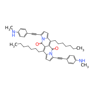 CCCCCCCc1c2c(=O)n3c(C#Cc4ccc(NC)cc4)ccc3c(CCCCCCC)c2c(=O)n2c(C#Cc3ccc(NC)cc3)ccc12